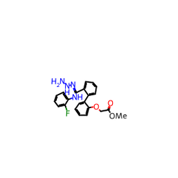 COC(=O)COc1ccccc1-c1ccccc1/C(=N/NN)Nc1ccccc1F